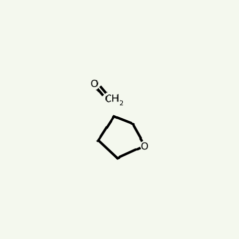 C1CCOC1.C=O